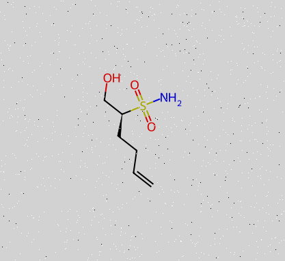 C=CCC[C@@H](CO)S(N)(=O)=O